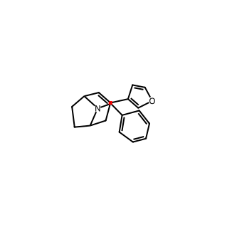 C1=C(c2ccoc2)CC2CCC1N2Cc1ccccc1